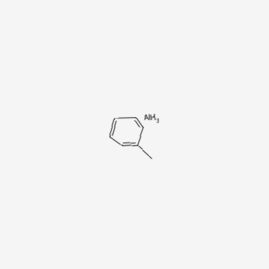 Cc1ccccc1.[AlH3]